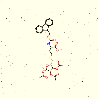 COC(=O)C(CCSC[C@H]1OC(OC(C)=O)[C@H](OC(C)=O)[C@@H]1OC(C)=O)NC(=O)OCC1c2ccccc2-c2ccccc21